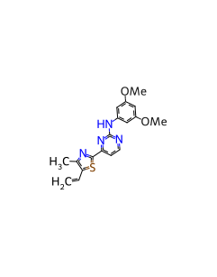 C=Cc1sc(-c2ccnc(Nc3cc(OC)cc(OC)c3)n2)nc1C